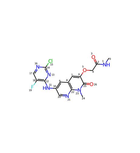 CNC(=O)COc1cc2cc(Nc3nc(Cl)ncc3F)cnc2n(C)c1=O